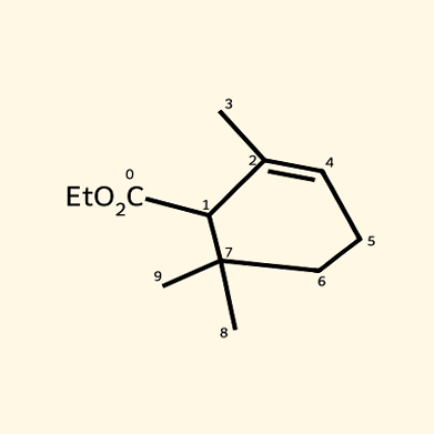 CCOC(=O)C1C(C)=CCCC1(C)C